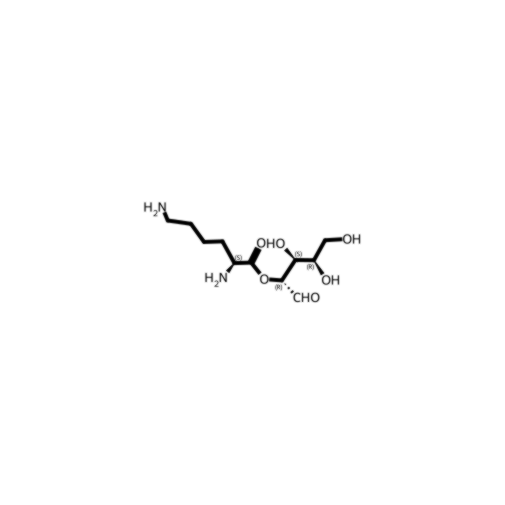 NCCCC[C@H](N)C(=O)O[C@@H](C=O)[C@@H](O)[C@H](O)CO